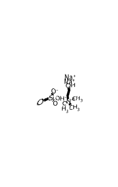 C[N+](C)(C)CCO.O=[Si]([O-])[O-].[Na+].[Na+].[OH-]